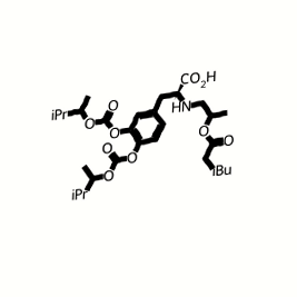 CCC(C)CC(=O)OC(C)CN[C@@H](Cc1ccc(OC(=O)OC(C)C(C)C)c(OC(=O)OC(C)C(C)C)c1)C(=O)O